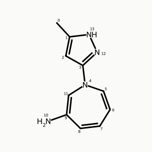 Cc1cc(N2C=CC=CC(N)=C2)n[nH]1